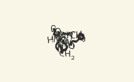 C=C1CC[C@H](NC(=O)CCc2ccccc2)C(=O)N2[C@H](C(=O)N[C@H]3CC(=O)O[C@H]3OCCCC)CCCN12